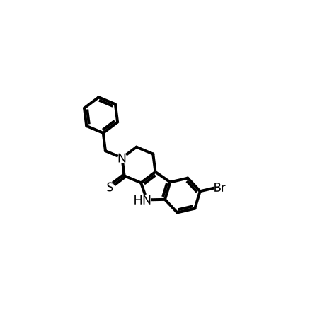 S=C1c2[nH]c3ccc(Br)cc3c2CCN1Cc1ccccc1